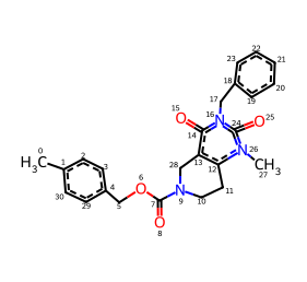 Cc1ccc(COC(=O)N2CCc3c(c(=O)n(Cc4ccccc4)c(=O)n3C)C2)cc1